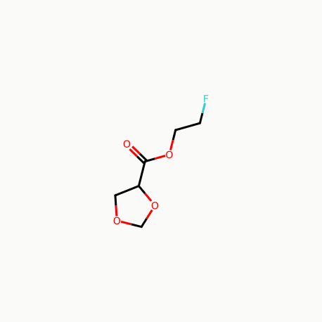 O=C(OCCF)C1COCO1